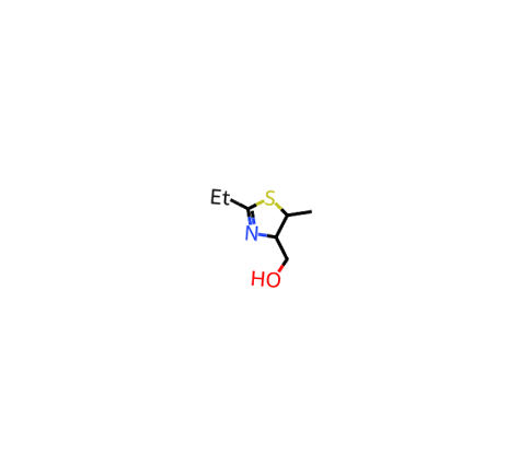 CCC1=NC(CO)C(C)S1